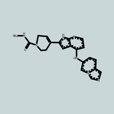 CC(C)(C)NC(=O)N1CC=C(c2cc3c(Nc4ccc5cncn5c4)ccnc3[nH]2)CC1